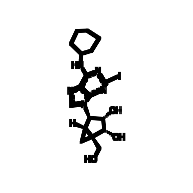 OC[C@@]12C[C@@H]1[C@@H](n1cnc3c(NC4CCCCC4)nc(I)nc31)[C@H](O)[C@@H]2O